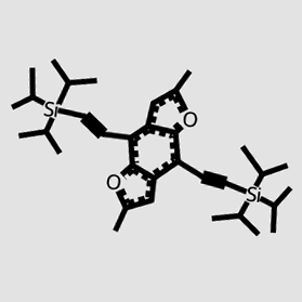 Cc1cc2c(C#C[Si](C(C)C)(C(C)C)C(C)C)c3oc(C)cc3c(C#C[Si](C(C)C)(C(C)C)C(C)C)c2o1